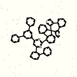 c1ccc(-c2cc(-c3ccccc3)cc(-c3cc(-c4ccccc4-c4ccccc4)nc(-c4cccc5c4-c4ccccc4C54c5ccccc5-c5ccccc5-c5ccccc54)n3)c2)cc1